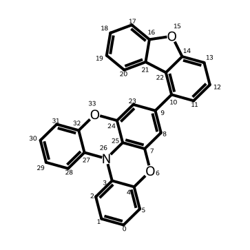 c1ccc2c(c1)Oc1cc(-c3cccc4oc5ccccc5c34)cc3c1N2c1ccccc1O3